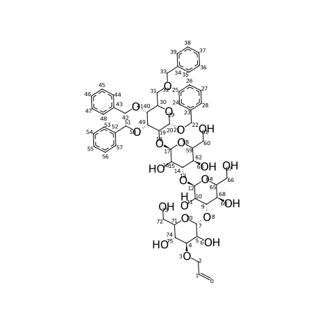 C=CCO[C@@H]1C(O)[C@@H](O[C@@H]2C(O)[C@@H](O[C@@H]3C(O)[C@@H](OC4[C@@H](OCc5ccccc5)OC(COCc5ccccc5)[C@@H](OCc5ccccc5)[C@H]4OCc4ccccc4)OC(CO)[C@H]3O)OC(CO)[C@H]2O)OC(CO)[C@H]1O